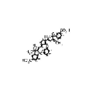 CN1C(=CC=C2CCC(C=CC3=[N+](C)c4ccc(C(=O)O)cc4C3(C)C)=C2Oc2ccccc2)C(C)(C)c2cc(C(=O)O)ccc21